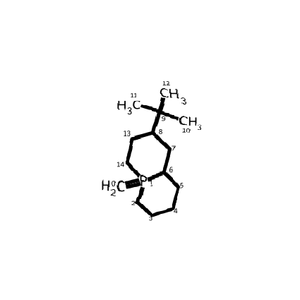 C=P12CCCCC1CC(C(C)(C)C)CC2